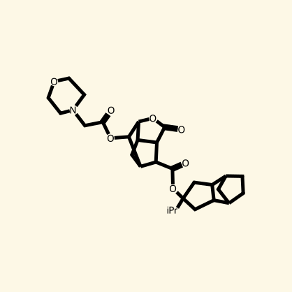 CC(C)C1(OC(=O)C2C3CC4C(OC(=O)C42)C3OC(=O)CN2CCOCC2)CC2C3CCC(C3)C2C1